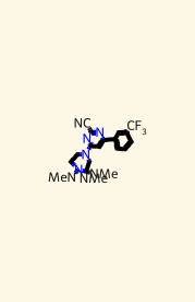 CNN1CCN(c2cc(-c3cccc(C(F)(F)F)c3)nc(C#N)n2)CC1(NC)NC